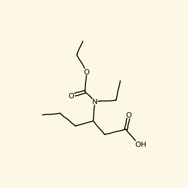 CCCC(CC(=O)O)N(CC)C(=O)OCC